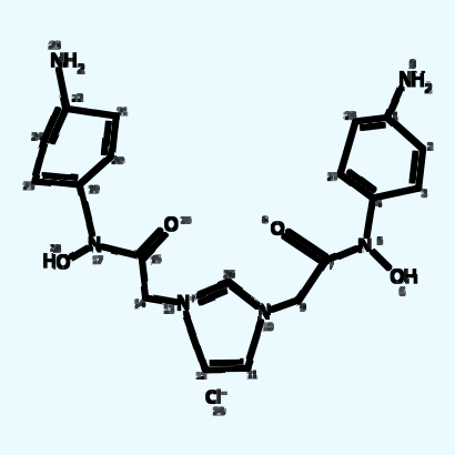 Nc1ccc(N(O)C(=O)Cn2cc[n+](CC(=O)N(O)c3ccc(N)cc3)c2)cc1.[Cl-]